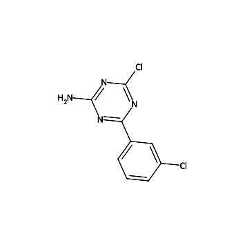 Nc1nc(Cl)nc(-c2cccc(Cl)c2)n1